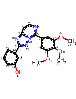 COc1cc(-c2nccc3nc(-c4cccc(O)c4)nn23)cc(OC)c1OC